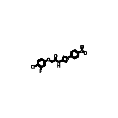 O=C(COc1ccc(Cl)c(F)c1)NC1CN(c2ccc([SH](=O)=O)cc2)C1